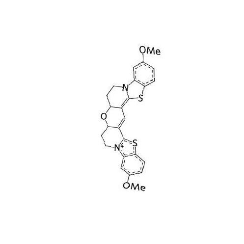 COc1ccc2c(c1)N1CCC3OC4CC[n+]5c(sc6ccc(OC)cc65)C4=CC3=C1S2